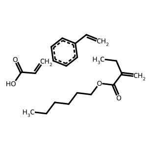 C=C(CC)C(=O)OCCCCCC.C=CC(=O)O.C=Cc1ccccc1